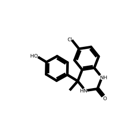 CC1(c2ccc(O)cc2)NC(=O)Nc2ccc(Cl)cc21